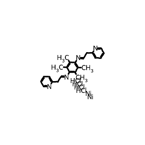 Cc1c(C)c(N=CCc2ccccn2)c(C)c(C)c1N=CCc1ccccn1.Cl.Cl.Cl.Cl.[Ni].[Ni]